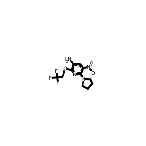 Nc1cc([N+](=O)[O-])c(N2CCCC2)nc1OCC(F)(F)F